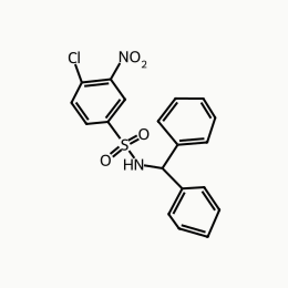 O=[N+]([O-])c1cc(S(=O)(=O)NC(c2ccccc2)c2ccccc2)ccc1Cl